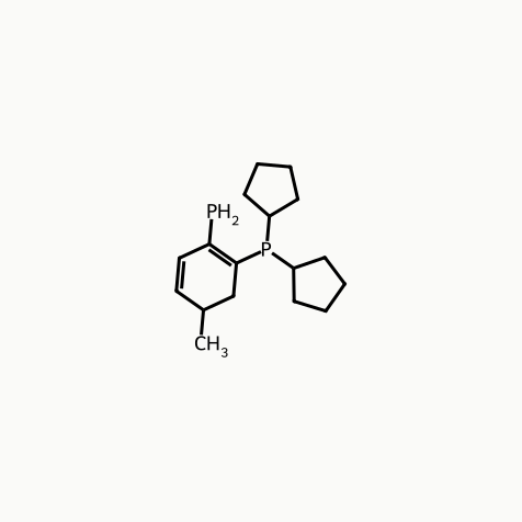 CC1C=CC(P)=C(P(C2CCCC2)C2CCCC2)C1